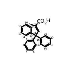 CC(=CC(c1ccccc1)(c1ccccc1)c1ccccc1)C(=O)O